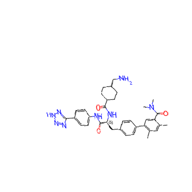 Cc1cc(C)c(-c2ccc(C[C@H](NC(=O)C3CCC(CN)CC3)C(=O)Nc3ccc(-c4nn[nH]n4)cc3)cc2)cc1C(=O)N(C)C